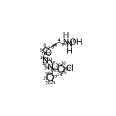 ONNCCC#Cc1ccc(CN2CCN([C@H](c3ccccc3)c3ccc(Cl)cc3)CC2)o1